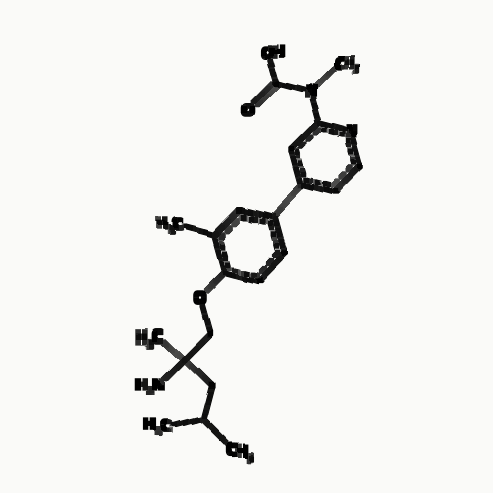 Cc1cc(-c2ccnc(N(C)C(=O)O)c2)ccc1OCC(C)(N)CC(C)C